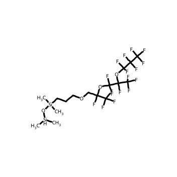 C[SiH](C)O[Si](C)(C)CCCOCC(F)(OC(F)(F)C(F)(OC(F)(F)C(F)(F)C(F)(F)F)C(F)(F)F)C(F)(F)F